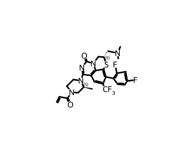 C=CC(=O)N1CCN(c2nc(=O)n3c4c(c(-c5ccc(F)cc5F)c(C(F)(F)F)cc24)S[C@@H](CN(C)C)C3)[C@@H](C)C1